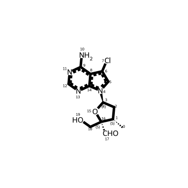 C[C@H]1C[C@H](n2cc(Cl)c3c(N)ncnc32)O[C@]1(C=O)CO